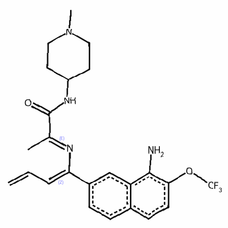 C=C/C=C(\N=C(/C)C(=O)NC1CCN(C)CC1)c1ccc2ccc(OC(F)(F)F)c(N)c2c1